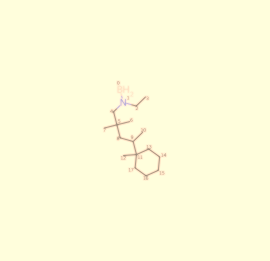 BN(CC)CC(C)(C)CC(C)C1(C)CCCCC1